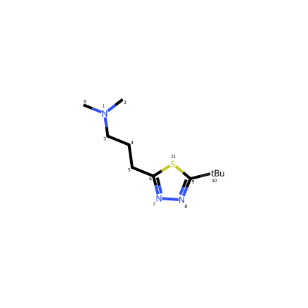 CN(C)CCCc1nnc(C(C)(C)C)s1